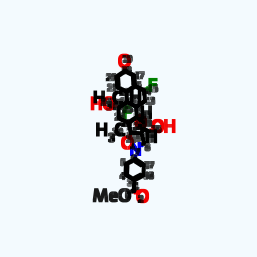 COC(=O)c1ccc(N2C[C@@H]3C[C@H]4[C@@H]5C[C@H](F)C6=CC(=O)C=C[C@]6(C)[C@@]5(F)[C@@H](O)C[C@]4(C)[C@]3(C(=O)CO)O2)cc1